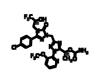 C[C@@H](OC(N)=O)c1nc(Cn2nc(-c3ccc(Cl)cc3)n(C[C@H](O)C(F)(F)F)c2=O)nn1-c1ncccc1OC(F)(F)F